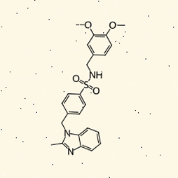 COc1ccc(CNS(=O)(=O)c2ccc(Cn3c(C)nc4ccccc43)cc2)cc1OC